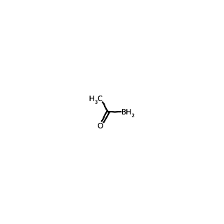 BC(C)=O